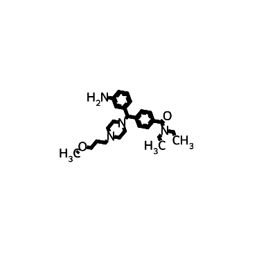 CCN(CC)C(=O)c1ccc(C(c2cccc(N)c2)N2CCN(CCCOC)CC2)cc1